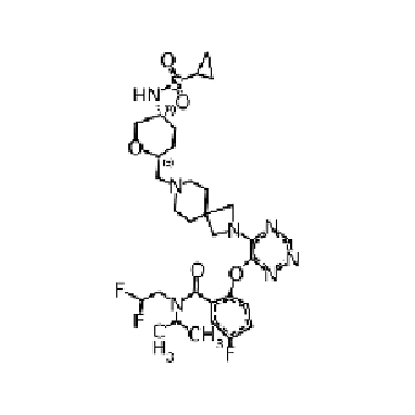 CC(C)N(CC(F)F)C(=O)c1cc(F)ccc1Oc1nncnc1N1CC2(CCN(C[C@@H]3CC[C@@H](NS(=O)(=O)C4CC4)CO3)CC2)C1